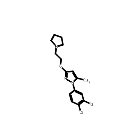 Cc1cc(OCCN2CCCC2)nn1-c1ccc(Cl)c(Cl)c1